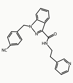 N#Cc1ccc(Cn2nc(C(=O)NCCc3cccnc3)c3ccccc32)cc1